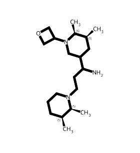 C[C@H]1CCCN(CCC(N)C2C[C@H](C)[C@H](C)N(C3COC3)C2)[C@H]1C